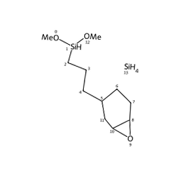 CO[SiH](CCCC1CCC2OC2C1)OC.[SiH4]